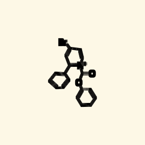 O=C(Oc1ccccc1)[n+]1ccc(Br)cc1-c1ccccc1